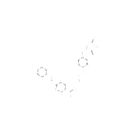 CC(=NOCCOc1ccc(CC2SC(=O)NC2=O)cc1)c1ccc(OCc2ccccc2)nc1